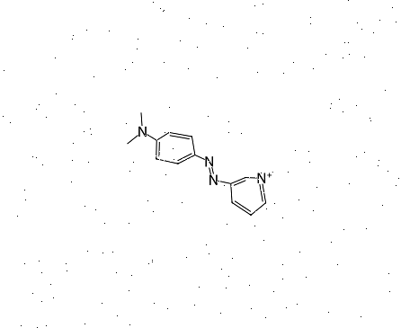 CN(C)c1ccc(N=Nc2ccc[n+](C)c2)cc1